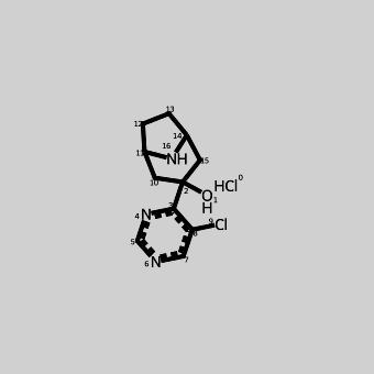 Cl.OC1(c2ncncc2Cl)CC2CCC(C1)N2